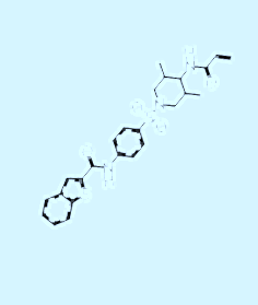 C=CC(=O)NC1C(C)CN(S(=O)(=O)c2ccc(NC(=O)c3cc4ccccc4s3)cc2)CC1C